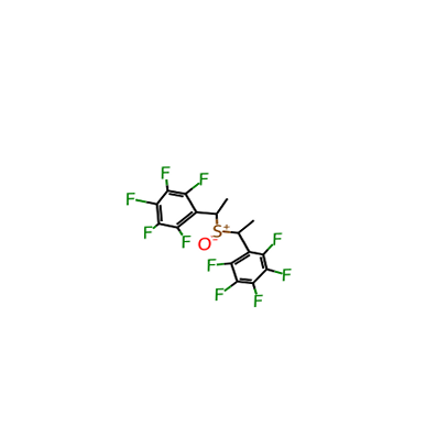 CC(c1c(F)c(F)c(F)c(F)c1F)[S+]([O-])C(C)c1c(F)c(F)c(F)c(F)c1F